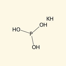 OP(O)O.[KH]